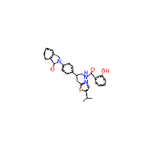 CC(C)c1cnc(CC(CNC(=O)c2ccccc2O)c2ccc(N3Cc4ccccc4C3=O)cc2)s1